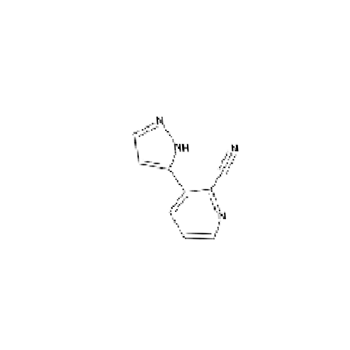 N#Cc1ncccc1-c1ccn[nH]1